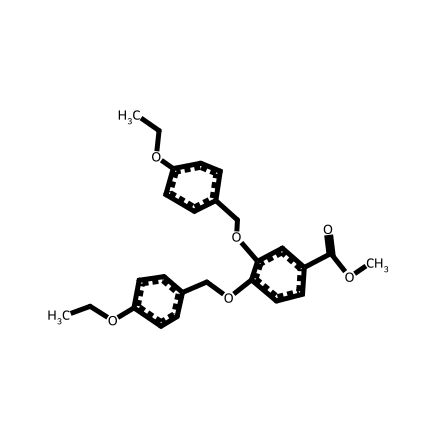 CCOc1ccc(COc2ccc(C(=O)OC)cc2OCc2ccc(OCC)cc2)cc1